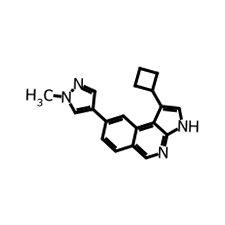 Cn1cc(-c2ccc3cnc4[nH]cc(C5CCC5)c4c3c2)cn1